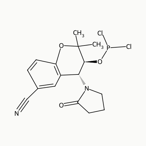 CC1(C)Oc2ccc(C#N)cc2[C@@H](N2CCCC2=O)[C@@H]1OP(Cl)Cl